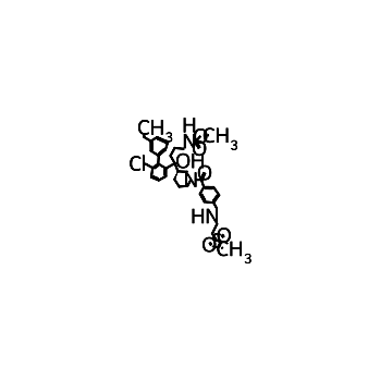 CCc1cccc(-c2c(Cl)cccc2[C@](O)(CCCNC(=O)OC)[C@@H]2CCCN(C(=O)c3ccc(CNCCS(C)(=O)=O)cc3)C2)c1